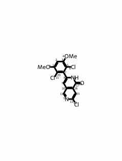 COc1cc(OC)c(Cl)c(-c2cc3cnc(Cl)cc3c(=O)[nH]2)c1Cl